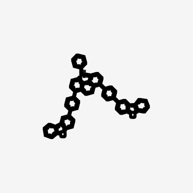 c1ccc(-n2c3ccc(-c4ccc(-c5ccc6oc7ccccc7c6c5)cc4)c4ccc5c(-c6ccc(-c7ccc8oc9ccccc9c8c7)cc6)ccc2c5c43)cc1